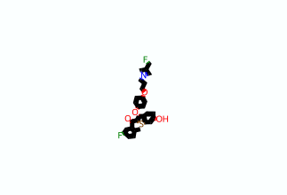 Cc1ccc(F)cc1C(=O)c1sc2cc(O)ccc2c1Oc1ccc(OCCCN2CC(CF)C2)cc1